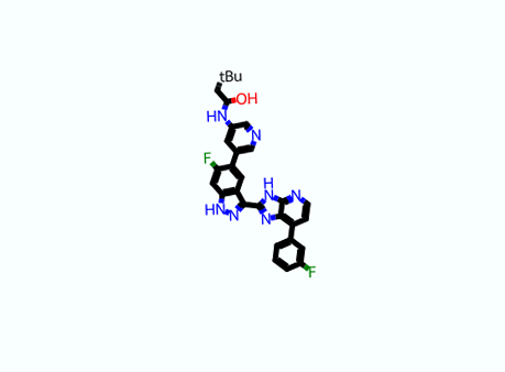 CC(C)(C)CC(O)Nc1cncc(-c2cc3c(-c4nc5c(-c6cccc(F)c6)ccnc5[nH]4)n[nH]c3cc2F)c1